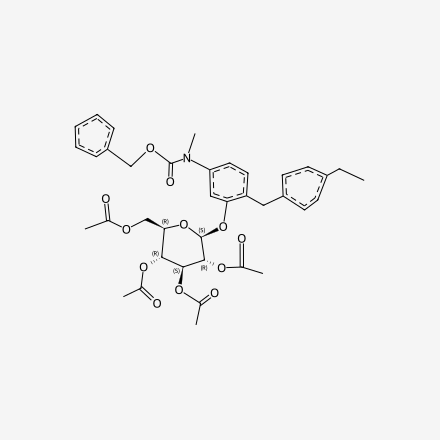 CCc1ccc(Cc2ccc(N(C)C(=O)OCc3ccccc3)cc2O[C@@H]2O[C@H](COC(C)=O)[C@@H](OC(C)=O)[C@H](OC(C)=O)[C@H]2OC(C)=O)cc1